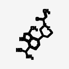 C=CC(=O)N1CCCC(c2ccc(C(N)O)c3[nH]cc(C)c23)C1